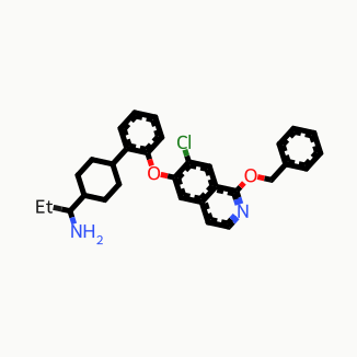 CCC(N)C1CCC(c2ccccc2Oc2cc3ccnc(OCc4ccccc4)c3cc2Cl)CC1